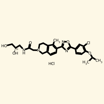 Cc1c(-c2noc(-c3ccc(OC(C)C)c(Cl)c3)n2)ccc2c1CCN(CC(=O)NC[C@H](O)CO)C2.Cl